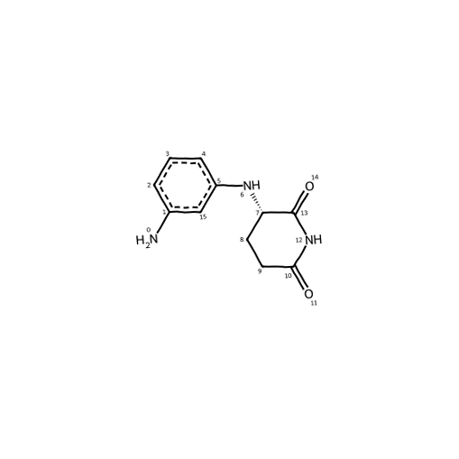 Nc1cccc(N[C@H]2CCC(=O)NC2=O)c1